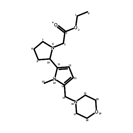 CCOC(=O)CN1CCCC1c1ccc(CN2CCOCC2)n1C